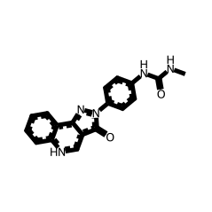 CNC(=O)Nc1ccc(-n2nc3c4ccccc4[nH]cc-3c2=O)cc1